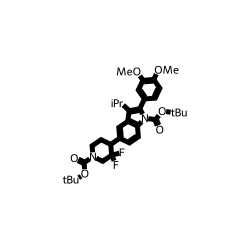 COc1ccc(-c2c(C(C)C)c3cc(C4CCN(C(=O)OC(C)(C)C)CC4(F)F)ccc3n2C(=O)OC(C)(C)C)cc1OC